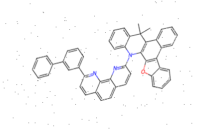 CC1(C)c2ccccc2N(c2ccc3ccc4ccc(-c5cccc(-c6ccccc6)c5)nc4c3n2)c2c1c1ccccc1c1c2oc2ccccc21